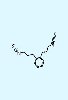 S=C=NCCCc1ccccc1CCCN=C=S